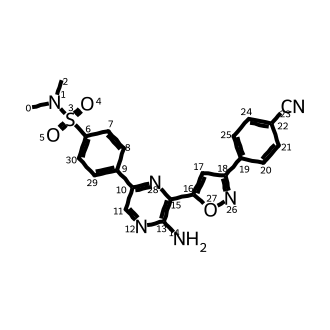 CN(C)S(=O)(=O)c1ccc(-c2cnc(N)c(-c3cc(-c4ccc(C#N)cc4)no3)n2)cc1